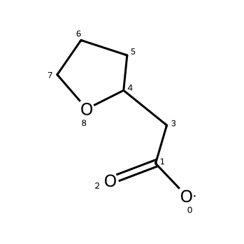 [O]C(=O)CC1CCCO1